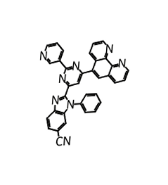 N#Cc1ccc2nc(-c3cc(-c4cc5cccnc5c5ncccc45)nc(-c4cccnc4)n3)n(-c3ccccc3)c2c1